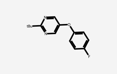 CC(C)(C)c1ncc(Oc2ccc(F)cc2)cn1